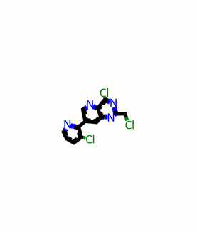 ClCc1nc(Cl)c2ncc(-c3ncccc3Cl)cc2n1